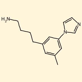 Cc1cc(CCCCN)cc(-n2ccnc2)c1